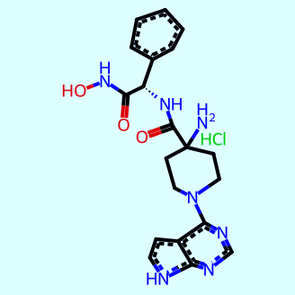 Cl.NC1(C(=O)N[C@H](C(=O)NO)c2ccccc2)CCN(c2ncnc3[nH]ccc23)CC1